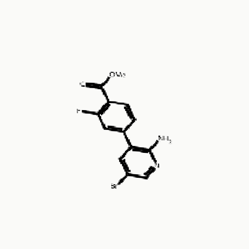 COC(=O)c1ccc(-c2cc(Br)cnc2N)cc1F